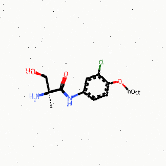 CCCCCCCCOc1ccc(NC(=O)[C@@](C)(N)CO)cc1Cl